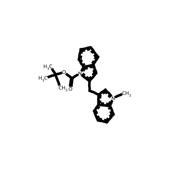 Cn1cc(Cc2cc3ccccc3n2C(=O)OC(C)(C)C)c2ccccc21